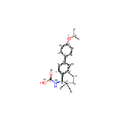 CC(C)Oc1ccc(-c2ccc3c(c2)CCC(C)(C)[C@H]3NC(=O)O)cc1